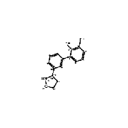 Fc1cccc(-c2cccc([C@H]3CCON3)c2)c1F